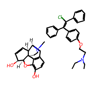 CCN(CC)CCOc1ccc(/C(=C(/Cl)c2ccccc2)c2ccccc2)cc1.CN1CC[C@]23c4c5ccc(O)c4O[C@H]2[C@@H](O)C=C[C@H]3[C@H]1C5